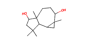 CC1(C)CC(O)C2(C)CCC(O)C3(C)CC3C12